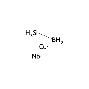 B[SiH3].[Cu].[Nb]